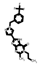 CCCn1c(C)nc2nc(-c3cnn(Cc4cccc(C(F)(F)F)c4)c3)[nH]c2c1=O